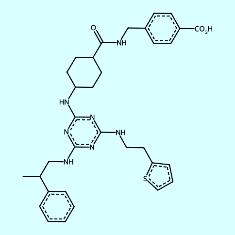 CC(CNc1nc(NCCc2cccs2)nc(NC2CCC(C(=O)NCc3ccc(C(=O)O)cc3)CC2)n1)c1ccccc1